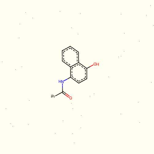 CC(C)C(=O)Nc1ccc(O)c2ccccc12